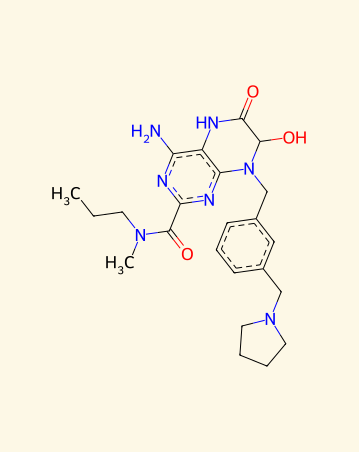 CCCN(C)C(=O)c1nc(N)c2c(n1)N(Cc1cccc(CN3CCCC3)c1)C(O)C(=O)N2